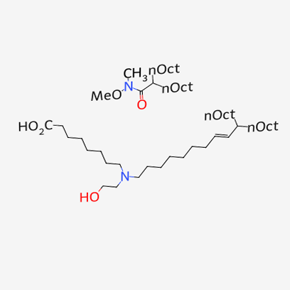 CCCCCCCCC(C=CCCCCCCCN(CCO)CCCCCCCC(=O)O)CCCCCCCC.CCCCCCCCC(CCCCCCCC)C(=O)N(C)OC